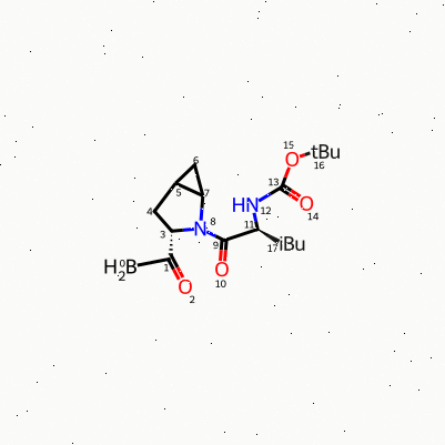 BC(=O)[C@@H]1CC2CC2N1C(=O)[C@@H](NC(=O)OC(C)(C)C)C(C)CC